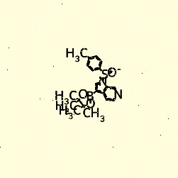 Cc1ccc([S+]([O-])n2cc(B3OC(C)(C)C(C)(C)O3)c3ccncc32)cc1